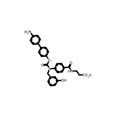 Nc1ccc(-c2ccc(OC(=O)N(Cc3cccc(O)c3)c3ccc(C(=O)NCCC(=O)O)cc3)cc2)cc1